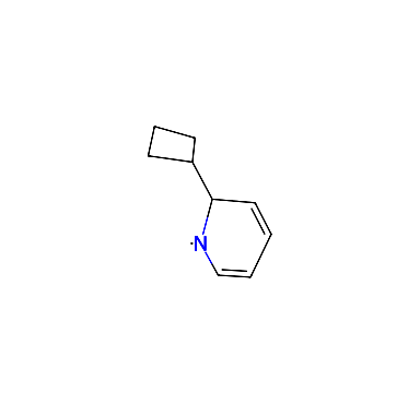 C1=C[N]C(C2CCC2)C=C1